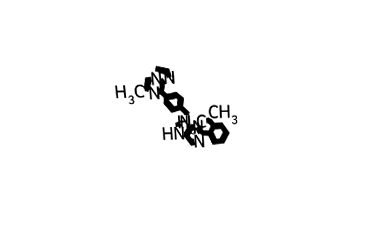 Cc1cn2ccnc2c(-c2ccc(CN3CNc4cnc(-c5ccccc5C(C)C)nc43)cc2)n1